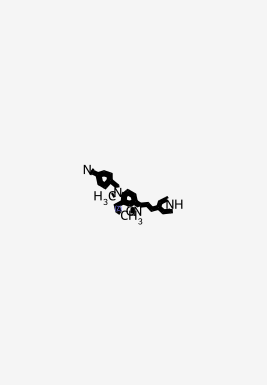 C/C=C\c1c(N(C)Cc2ccc(C#N)cc2)ccc2c(CCC3CCNCC3)noc12